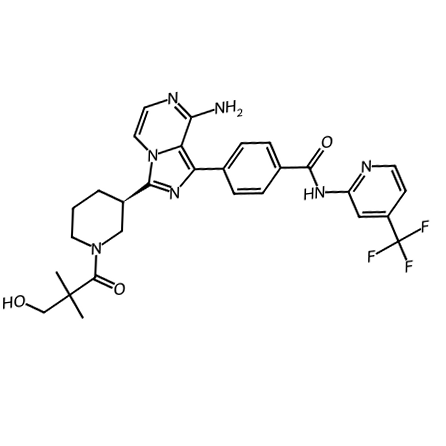 CC(C)(CO)C(=O)N1CCC[C@@H](c2nc(-c3ccc(C(=O)Nc4cc(C(F)(F)F)ccn4)cc3)c3c(N)nccn23)C1